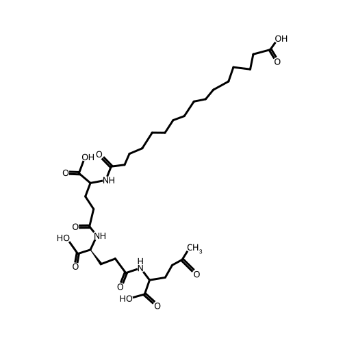 CC(=O)CCC(NC(=O)CC[C@H](NC(=O)CCC(NC(=O)CCCCCCCCCCCCCCC(=O)O)C(=O)O)C(=O)O)C(=O)O